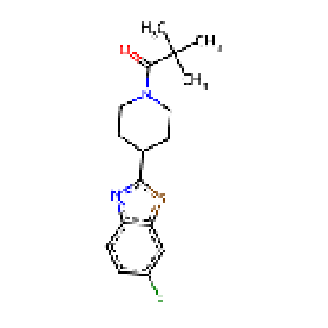 CC(C)(C)C(=O)N1CCC(c2nc3ccc(F)cc3s2)CC1